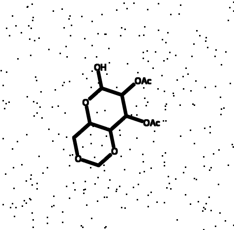 CC(=O)OC1C(O)OC2COCOC2C1OC(C)=O